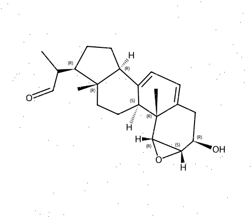 CC(C=O)[C@H]1CC[C@H]2C3=CC=C4C[C@@H](O)[C@@H]5O[C@@H]5[C@]4(C)[C@H]3CC[C@]12C